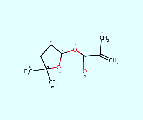 C=C(C)C(=O)OC1CCC(C(F)(F)F)(C(F)(F)F)O1